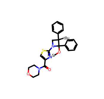 CC(C)(C)C1(c2ccccc2)CN(c2nc(C(=O)N3CCOCC3)cs2)C1(O[SiH3])c1ccccc1